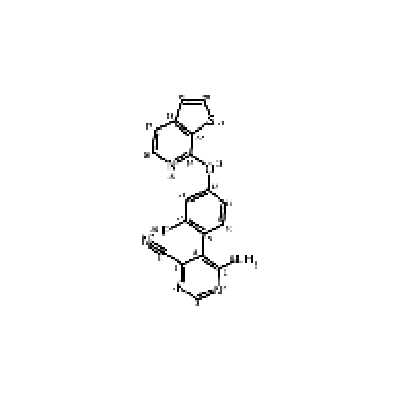 Cc1ncnc(C#N)c1-c1ccc(Oc2nccc3ccsc23)cc1F